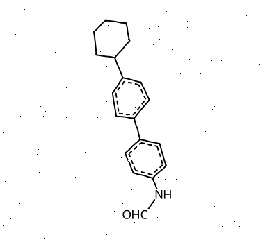 O=CNc1ccc(-c2ccc(C3CCCCC3)cc2)cc1